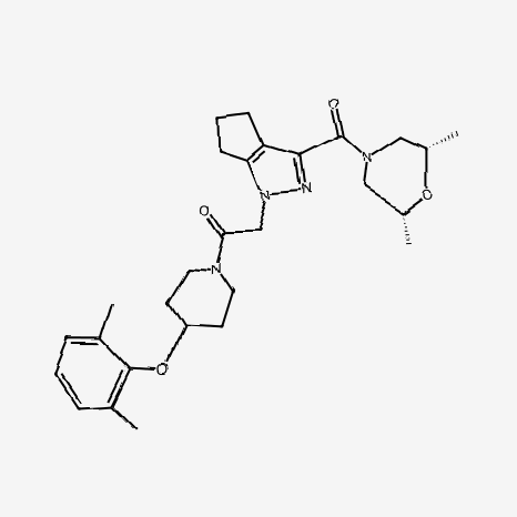 Cc1cccc(C)c1OC1CCN(C(=O)Cn2nc(C(=O)N3C[C@@H](C)O[C@@H](C)C3)c3c2CCC3)CC1